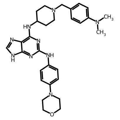 CN(C)c1ccc(CN2CCC(Nc3nc(Nc4ccc(N5CCOCC5)cc4)nc4[nH]cnc34)CC2)cc1